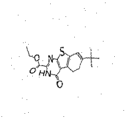 CCOC(=O)c1nc2sc3c(c2c(=O)[nH]1)CCC(C(C)(C)C)=C3